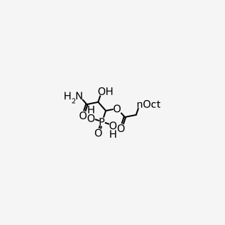 CCCCCCCCCC(=O)OC(C(O)C(N)=O)P(=O)(O)O